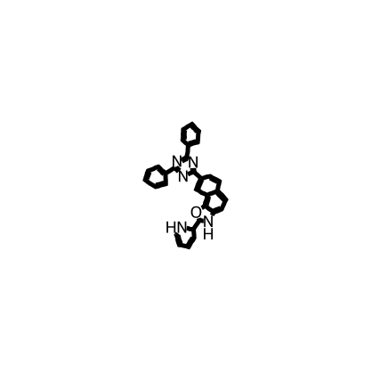 C1=CNC(C2Nc3ccc4ccc(-c5nc(-c6ccccc6)nc(-c6ccccc6)n5)cc4c3O2)C=C1